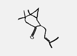 CC(C)=CCC1C(=O)CC(C)(C)C2(C)CC12